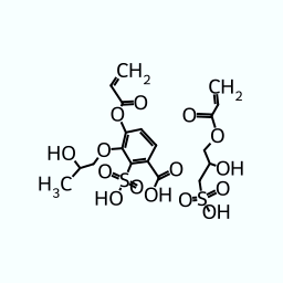 C=CC(=O)OCC(O)CS(=O)(=O)O.C=CC(=O)Oc1ccc(C(=O)O)c(S(=O)(=O)O)c1OCC(C)O